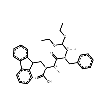 CCOC(OCC)[C@H](C)N(Cc1ccccc1)C(=O)[C@H](C)N(CC1c2ccccc2-c2ccccc21)C(=O)O